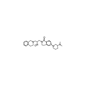 CN(C)C1CCCN(c2ccc3c(c2)CCN(CC(CN2CCc4ccccc4C2)N=O)C3=O)C1